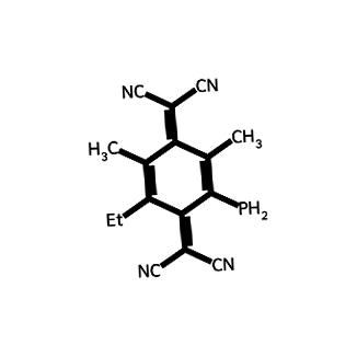 CCc1c(C)c(=C(C#N)C#N)c(C)c(P)c1=C(C#N)C#N